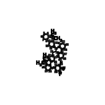 CC1(C)c2ccccc2-c2ccc(C(CCc3ccc4c(c3)C(C)(C)c3cccc(-c5cc(F)c(F)c(F)c5)c3-4)c3ccccc3-c3ccccc3)cc21